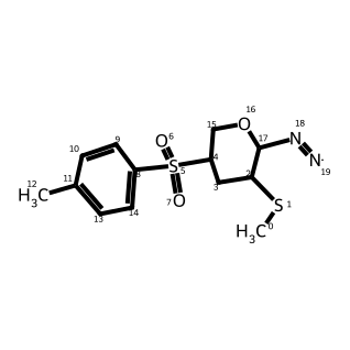 CSC1CC(S(=O)(=O)c2ccc(C)cc2)COC1N=[N]